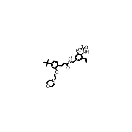 C=Cc1cc(CNC(=O)C=Cc2ccc(C(C)(C)C)cc2OCCN2CCOCC2)cc(F)c1NS(C)(=O)=O